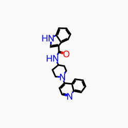 O=C(NC1CCN(c2ccnc3ccccc23)CC1)c1c[nH]c2ccccc12